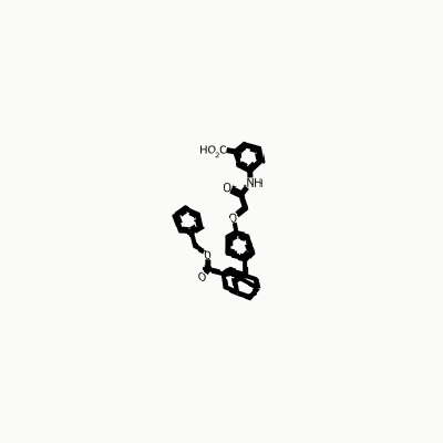 O=C(COc1ccc(C23CC4CC(CC(C(=O)OCc5ccccc5)(C4)C2)C3)cc1)Nc1cccc(C(=O)O)c1